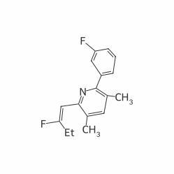 CC/C(F)=C\c1nc(-c2cccc(F)c2)c(C)cc1C